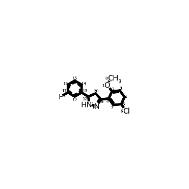 COC1=CCC(Cl)C=C1C1=NNC(c2cccc(F)c2)C1